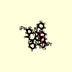 C=C1CC2(C)c3ccccc3N3c4nccnc4N(c4ccccc4)C3C2C2N(c3ccc(C(C)C)cc3)c3nc4ccccc4nc3N2c2ccc(C(C)C)cc21